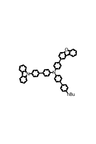 CCCCc1ccc(-c2ccc(N(c3ccc(-c4ccc(-n5c6ccccc6c6ccccc65)cc4)cc3)c3ccc(-c4ccc5oc6ccccc6c5c4)cc3)cc2)cc1